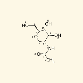 CC(=O)N[C@@H]1[CH]O[C@@H](CO)[C@H](O)[C@H]1O